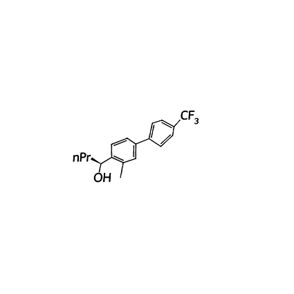 CCC[C@H](O)c1ccc(-c2ccc(C(F)(F)F)cc2)cc1C